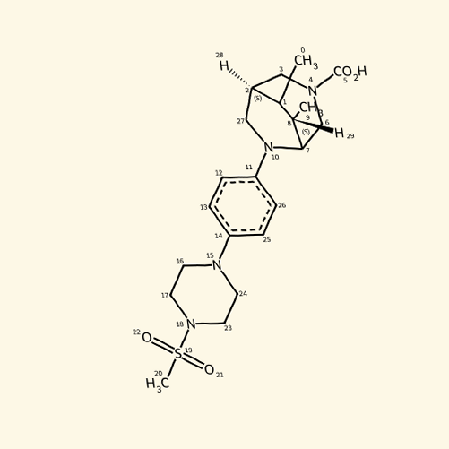 CC1[C@@H]2CN(C(=O)O)CC([C@H]1C)N(c1ccc(N3CCN(S(C)(=O)=O)CC3)cc1)C2